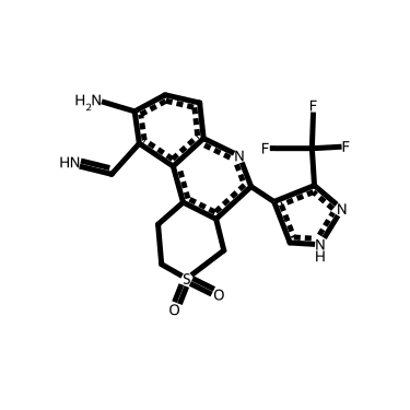 N=Cc1c(N)ccc2nc(-c3c[nH]nc3C(F)(F)F)c3c(c12)CCS(=O)(=O)C3